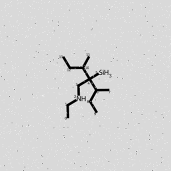 CCNCC([SiH3])(C(C)CC)C(C)CC